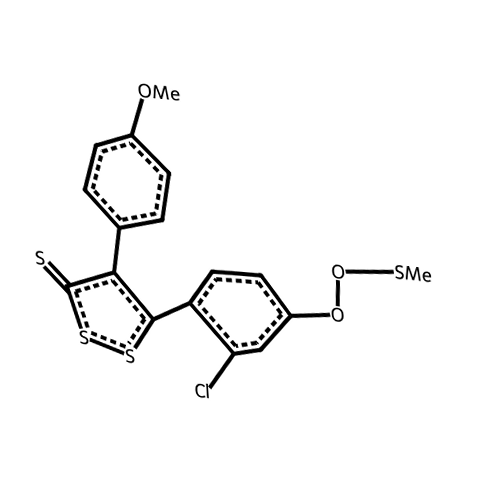 COc1ccc(-c2c(-c3ccc(OOSC)cc3Cl)ssc2=S)cc1